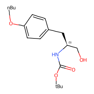 CCCCOc1ccc(C[C@@H](CO)NC(=O)OC(C)(C)C)cc1